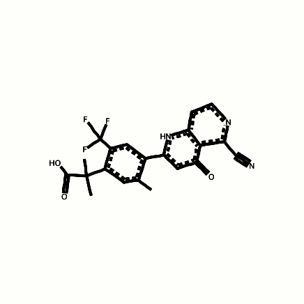 Cc1cc(C(C)(C)C(=O)O)c(C(F)(F)F)cc1-c1cc(=O)c2c(C#N)nccc2[nH]1